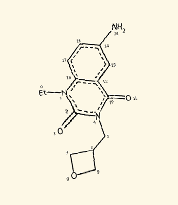 CCn1c(=O)n(CC2COC2)c(=O)c2cc(N)ccc21